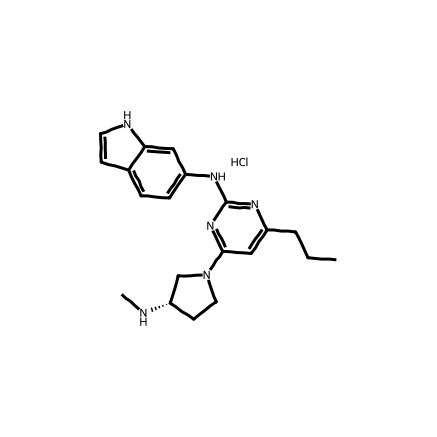 CCCc1cc(N2CC[C@H](NC)C2)nc(Nc2ccc3cc[nH]c3c2)n1.Cl